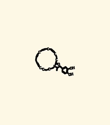 CC(Cc1ccc(O)c(O)c1)N1CCCCC/C=C\C/C=C\C/C=C\C/C=C\CCCC1=O